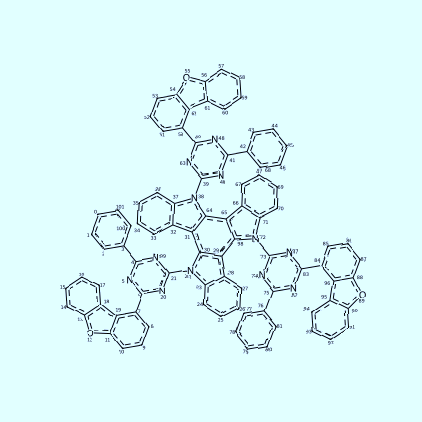 c1ccc(-c2nc(-c3cccc4oc5ccccc5c34)nc(-n3c4ccccc4c4c3c3c5ccccc5n(-c5nc(-c6ccccc6)nc(-c6cccc7oc8ccccc8c67)n5)c3c3c5ccccc5n(-c5nc(-c6ccccc6)nc(-c6cccc7oc8ccccc8c67)n5)c43)n2)cc1